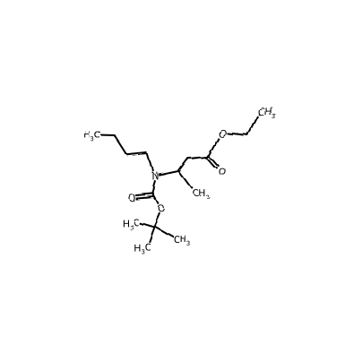 CCCCN(C(=O)OC(C)(C)C)C(C)CC(=O)OCC